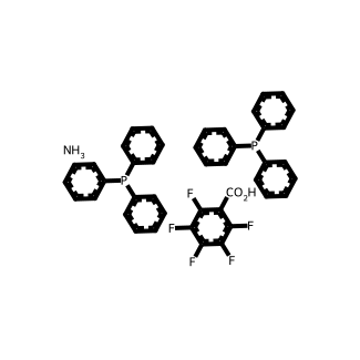 N.O=C(O)c1c(F)c(F)c(F)c(F)c1F.c1ccc(P(c2ccccc2)c2ccccc2)cc1.c1ccc(P(c2ccccc2)c2ccccc2)cc1